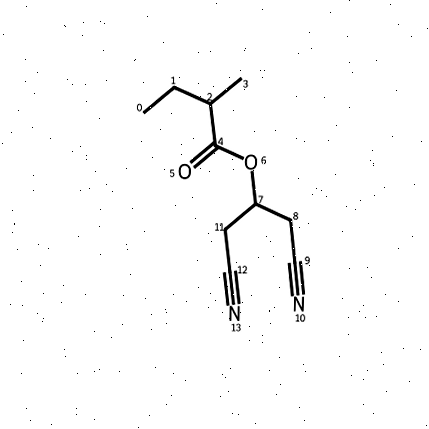 CCC(C)C(=O)OC(CC#N)CC#N